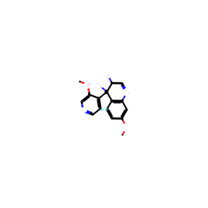 COc1ccc2c(c1)N=CC(N)C2(N)c1c(F)cncc1OC